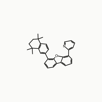 CC1(C)CCC(C)(C)c2cc(-c3cccc4c3oc3c(-c5ccccn5)cccc34)ccc21